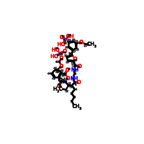 CCCCCC(C(=O)NCNC(=O)c1ccc(-c2cc(OCC)cc(P(=O)(O)O)c2)o1)[C@@H](CC)N(C=O)OC(=O)c1c(C)cccc1OCOP(=O)(O)O